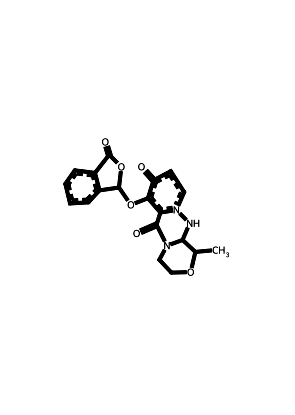 CC1OCCN2C(=O)c3c(OC4OC(=O)c5ccccc54)c(=O)ccn3NC12